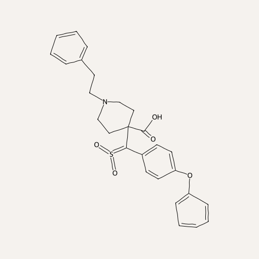 O=C(O)C1(C(c2ccc(Oc3ccccc3)cc2)=S(=O)=O)CCN(CCc2ccccc2)CC1